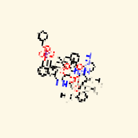 Cc1cccc(C)c1OCC(=O)N[C@@H](Cc1ccccc1)C(CC(Cc1ccccc1)NC(=O)[C@H](C(C)C)N1CCCNC1=O)OC(=O)C(C)(C)CCOP(=O)(OCc1ccccc1)OCc1ccccc1